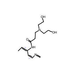 C=N/C=C\C(=C/C)NC(=O)CCN(CCO)CCO